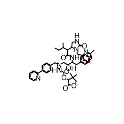 CCC(C)C(C(=O)NC(Cc1ccccc1)C(O)CN(Cc1ccc(-c2ccccn2)cc1)NC(=O)OC1C(=O)OCC1(C)C)C1CNC(=O)N1Cc1cccc(C)n1